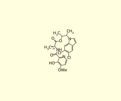 COc1ccnc(C(=O)N[C@@H](C)C(=O)OC(C)C(C)n2ccc3cc(Cl)c(Cl)cc32)c1O